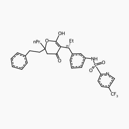 CCCC1(CCc2ccccc2)CC(=O)C([C@H](CC)c2cccc(NS(=O)(=O)c3ccc(C(F)(F)F)cn3)c2)=C(O)O1